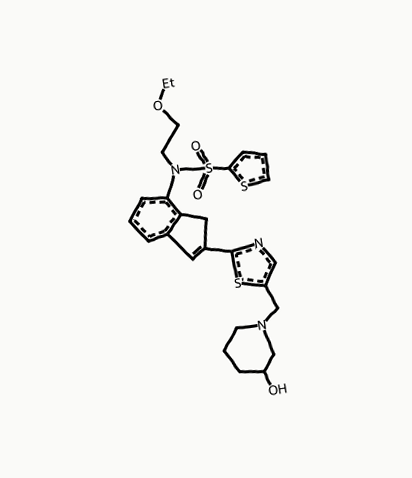 CCOCCN(c1cccc2c1CC(c1ncc(CN3CCCC(O)C3)s1)=C2)S(=O)(=O)c1cccs1